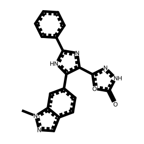 Cn1ncc2ccc(-c3[nH]c(-c4ccccc4)nc3-c3n[nH]c(=O)o3)cc21